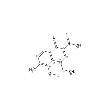 Cc1ccc2c(=O)c(C(=O)O)cn3c2c1OCC3C